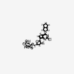 O=P(O)(O)CP(=O)(O)OC[C@@H]1C[C@H](F)[C@H](c2csc3c(N4CC5CCCC5C4)nc(Cl)nc23)O1